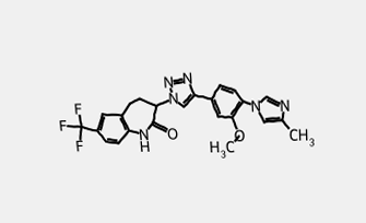 COc1cc(-c2cn(C3CCc4cc(C(F)(F)F)ccc4NC3=O)nn2)ccc1-n1cnc(C)c1